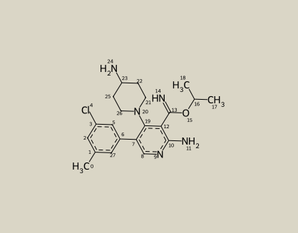 Cc1cc(Cl)cc(-c2cnc(N)c(C(=N)OC(C)C)c2N2CCC(N)CC2)c1